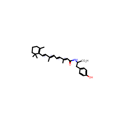 CC1=C(/C=C/C(C)=C/C=C/C(C)=C/C(=O)NC(Cc2ccc(O)cc2)C(=O)O)C(C)(C)CCC1